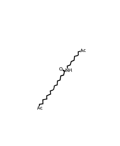 CC(=O)CCCCCCCCCCCCCCC(=O)NCCCCCCCC(C)=O